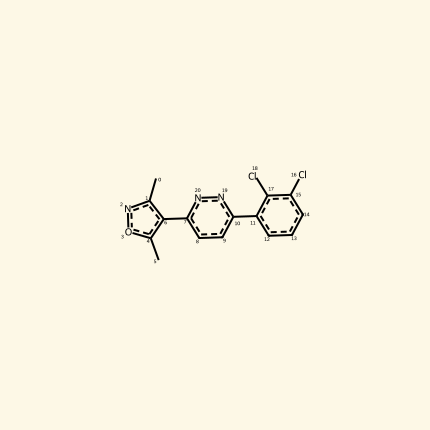 Cc1noc(C)c1-c1ccc(-c2cccc(Cl)c2Cl)nn1